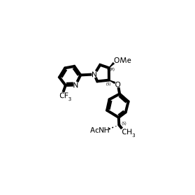 CO[C@@H]1CN(c2cccc(C(F)(F)F)n2)C[C@@H]1Oc1ccc([C@H](C)NC(C)=O)cc1